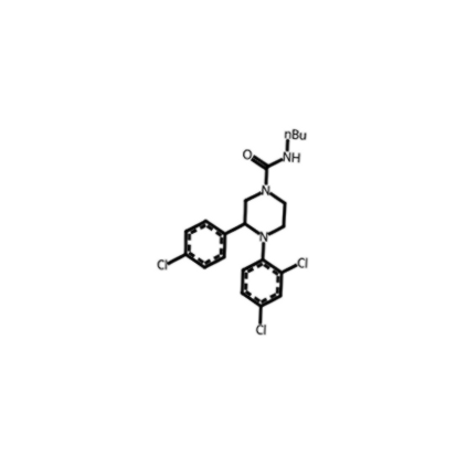 CCCCNC(=O)N1CCN(c2ccc(Cl)cc2Cl)C(c2ccc(Cl)cc2)C1